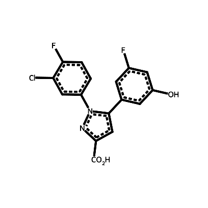 O=C(O)c1cc(-c2cc(O)cc(F)c2)n(-c2ccc(F)c(Cl)c2)n1